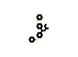 C=CC(=C)CC(c1ccc(Sc2ccccc2)cc1)c1ccc(Sc2ccccc2)cc1